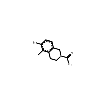 Cc1c(Br)ccc2c1CCN(C(=O)C(F)(F)F)C2